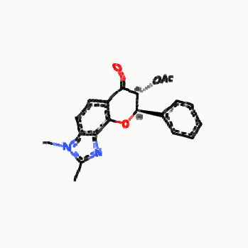 CC(=O)O[C@H]1C(=O)c2ccc3c(nc(C)n3C)c2O[C@@H]1c1ccccc1